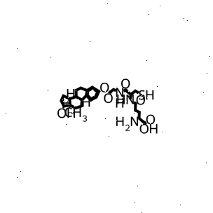 C[C@]12CC[C@@H]3c4ccc(OC(=O)CNC(=O)C(CS)NC(=O)CCC(N)C(=O)O)cc4CC[C@H]3[C@@H]1CC[C@@H]2O